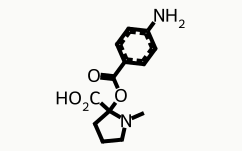 CN1CCCC1(OC(=O)c1ccc(N)cc1)C(=O)O